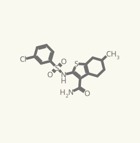 CC1CCc2c(sc(NS(=O)(=O)c3cccc(Cl)c3)c2C(N)=O)C1